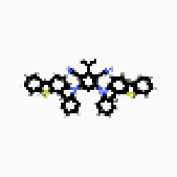 CC(C)c1c(C#N)c(-n2c3ccccc3c3c4sc5ccccc5c4ccc32)cc(-n2c3ccccc3c3c4sc5ccccc5c4ccc32)c1C#N